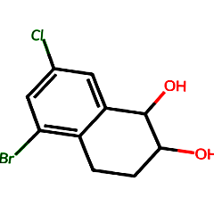 OC1CCc2c(Br)cc(Cl)cc2C1O